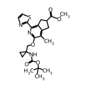 COC(=O)C1Cc2c(-c3nccs3)nc(OCC3(NC(=O)OC(C)(C)C)CC3)c(C)c2C1